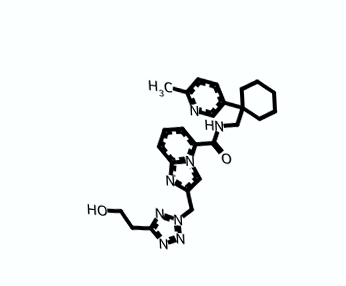 Cc1ccc(C2(CNC(=O)c3cccc4nc(Cn5nnc(CCO)n5)cn34)CCCCC2)cn1